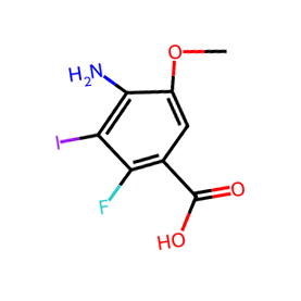 COc1cc(C(=O)O)c(F)c(I)c1N